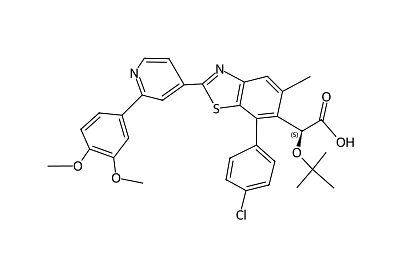 COc1ccc(-c2cc(-c3nc4cc(C)c([C@H](OC(C)(C)C)C(=O)O)c(-c5ccc(Cl)cc5)c4s3)ccn2)cc1OC